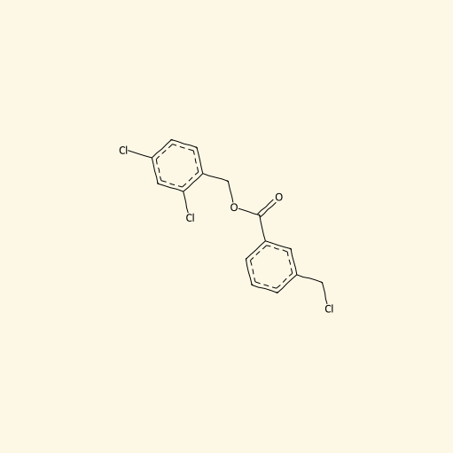 O=C(OCc1ccc(Cl)cc1Cl)c1cccc(CCl)c1